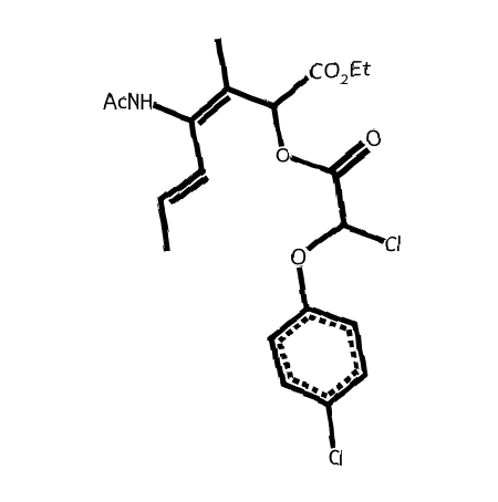 CC=CC(NC(C)=O)=C(C)C(OC(=O)C(Cl)Oc1ccc(Cl)cc1)C(=O)OCC